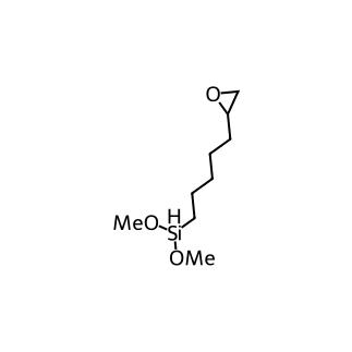 CO[SiH](CCCCCC1CO1)OC